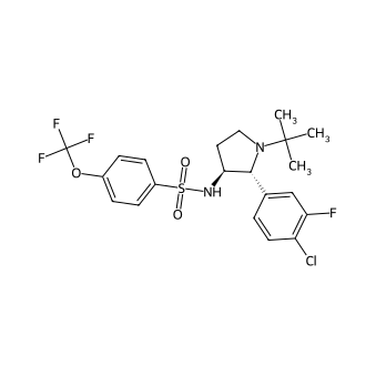 CC(C)(C)N1CC[C@H](NS(=O)(=O)c2ccc(OC(F)(F)F)cc2)[C@H]1c1ccc(Cl)c(F)c1